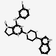 [O-][S+]1CCc2nc(N3CCC(c4c[nH]c5ccccc45)CC3)nc(Nc3cccc(F)c3)c21